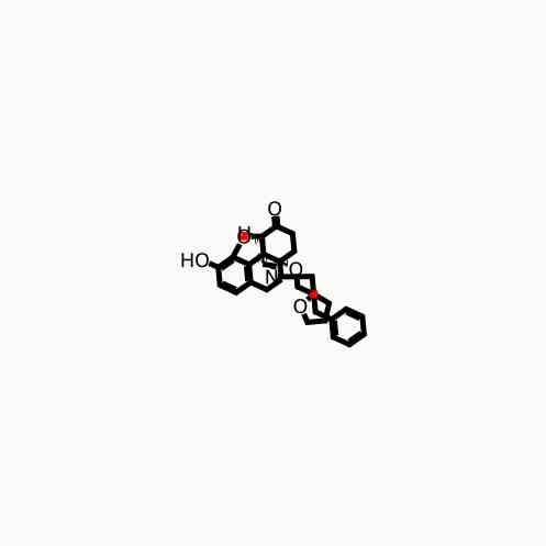 O=C1CC[C@@]2(OCCCc3ccccc3)C3Cc4ccc(O)c5c4[C@@]2(CCN3CC2CCCO2)[C@H]1O5